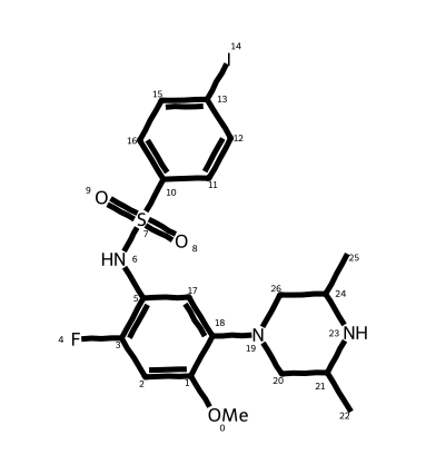 COc1cc(F)c(NS(=O)(=O)c2ccc(I)cc2)cc1N1CC(C)NC(C)C1